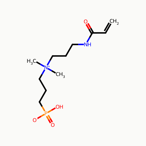 C=CC(=O)NCCC[N+](C)(C)CCCP(=O)([O-])O